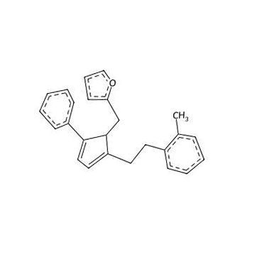 Cc1ccccc1CCC1=CC=C(c2ccccc2)C1Cc1ccco1